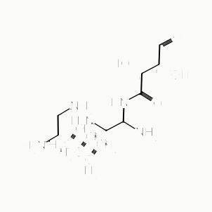 C=C.C=C.C=C.NCC(N)NC(=O)[C@H](O)[C@@H](O)C=O.NCCN